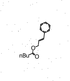 CCCCC(=O)OCC=Cc1ccccc1